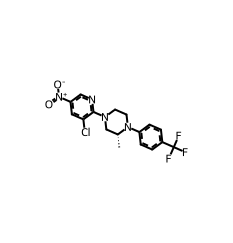 C[C@@H]1CN(c2ncc([N+](=O)[O-])cc2Cl)CCN1c1ccc(C(F)(F)F)cc1